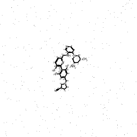 C[C@@H]1C[C@H](N)CN(c2ccncc2NCc2ccc(F)c(-c3c(F)cc(CN4CCC(C#N)C4)cc3F)n2)C1